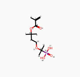 C=C(C)C(=O)OC(C)(C)CCOC(C)(C)P(=O)(O)O